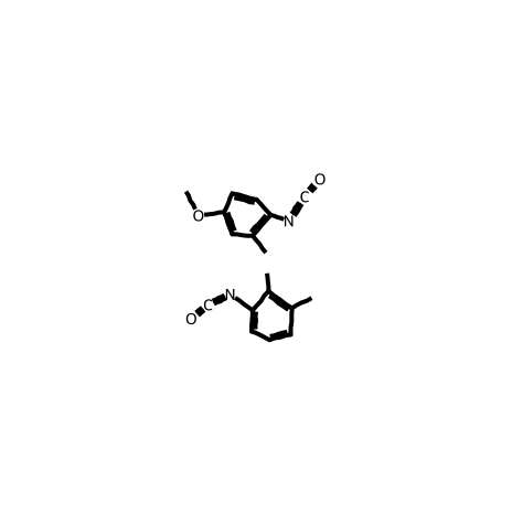 COc1ccc(N=C=O)c(C)c1.Cc1cccc(N=C=O)c1C